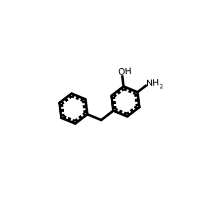 Nc1ccc(Cc2ccccc2)cc1O